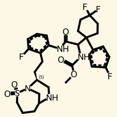 COC(=O)NC(C(=O)Nc1cccc(F)c1CC[C@H]1CNC2CCCS(=O)(=O)N1C2)C1(c2ccc(F)cc2)CCC(F)(F)CC1